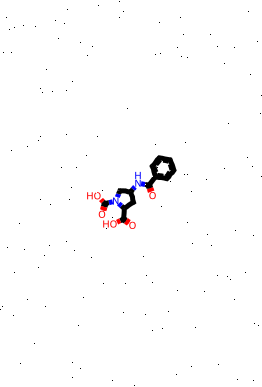 O=C(NC1CC(C(=O)O)N(C(=O)O)C1)c1ccccc1